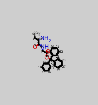 CC(C)C[C@H](N)C(=O)NCC(=O)OC(c1ccccc1)(c1ccccc1)c1ccccc1